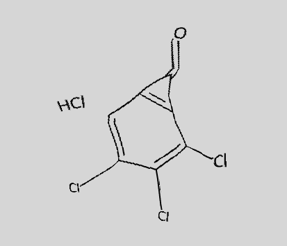 Cl.O=c1c2cc(Cl)c(Cl)c(Cl)c12